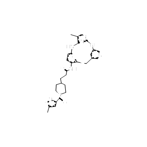 Cc1cc(C(=O)N2CCC(CCC(=O)Nc3ccc4cc3CCc3cncc(c3)Nc3ncc(C)c(n3)N4)CC2)no1